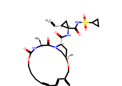 C=C[C@@H]1C[C@]1(NC(=O)[C@@H]1C[C@@H]2CN1C(=O)[C@H](CCCC)NC(=O)OCCCC=Cc1cccc(c1)CO2)C(=O)NS(=O)(=O)C1CC1